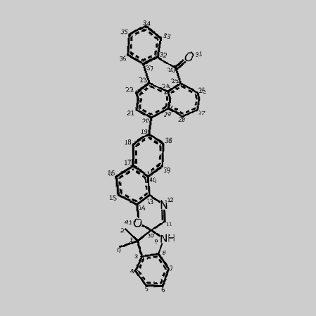 CC1(C)c2ccccc2NC12C=Nc1c(ccc3cc(-c4ccc5c6c(cccc46)C(=O)c4ccccc4-5)ccc13)O2